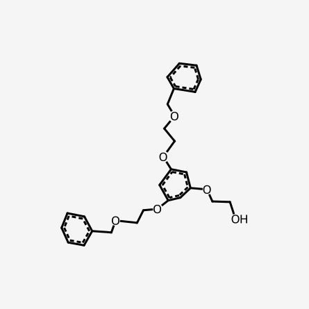 OCCOc1cc(OCCOCc2ccccc2)cc(OCCOCc2ccccc2)c1